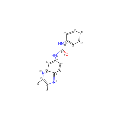 Cc1nc2ccc(NC(=O)Nc3ccccc3)cc2nc1C